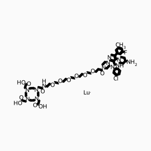 Cc1cc(F)cc(-c2cnc(N3CCN(C(=O)CCOCCOCCOCCOCCOCCOCCNC(=O)CN4CCN(CC(=O)O)CCN(CC(=O)O)CCN(CC(=O)O)CC4)CC3)c(-c3nc4cc(Cl)ccc4[nH]3)c2N2CCC(N)CC2)c1.[Lu]